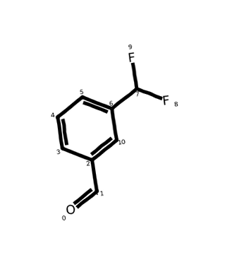 O=[C]c1cccc(C(F)F)c1